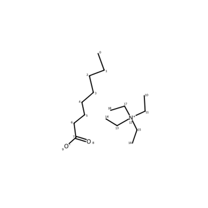 CCCCCCCC(=O)[O-].CC[N+](CC)(CC)CC